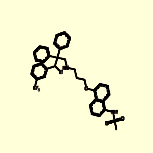 CS(=O)(=O)Nc1cccc2c(OCCCNCC(c3ccccc3)(c3ccccc3)C(Cl)c3cccc(C(F)(F)F)c3)cccc12